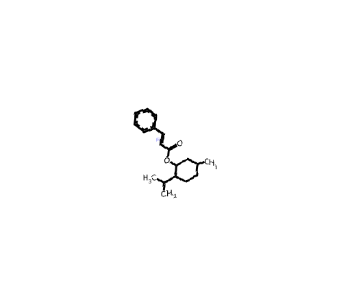 CC1CCC(C(C)C)C(OC(=O)/C=C/c2ccccc2)C1